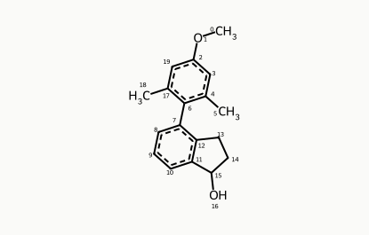 COc1cc(C)c(-c2cccc3c2CCC3O)c(C)c1